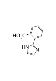 O=C(O)c1ccccc1-c1ncc[nH]1